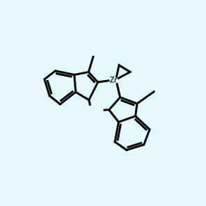 CC1=[C]([Zr]2([C]3=C(C)c4ccccc4C3C)[CH2][CH2]2)C(C)c2ccccc21